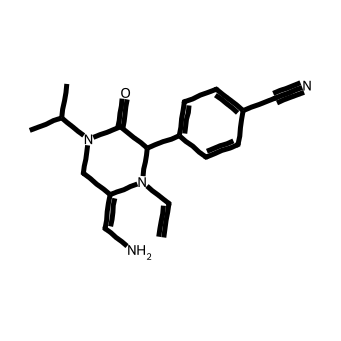 C=CN1/C(=C\N)CN(C(C)C)C(=O)C1c1ccc(C#N)cc1